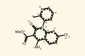 COC(=O)c1c(N)c2ccc(C(F)(F)F)nc2n(-c2cccnc2C)c1=O